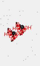 CCOC(C)OC(C)c1ccc(C(=O)O)c(C(C)OC(C)OCC)c1C(=O)O.CCOC(C)OC(C)c1ccc(C(=O)O)c(C(C)OC(C)OCC)c1C(=O)O